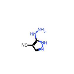 N#Cc1cn[nH]c1NN